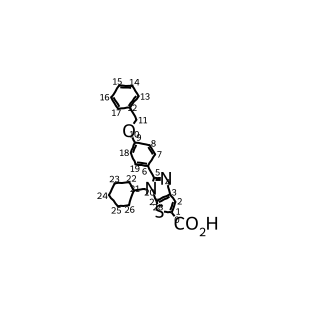 O=C(O)c1cc2nc(-c3ccc(OCc4ccccc4)cc3)n(C3CCCCC3)c2s1